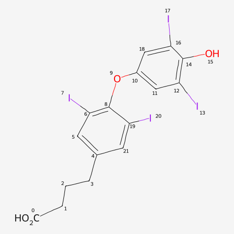 O=C(O)CCCc1cc(I)c(Oc2cc(I)c(O)c(I)c2)c(I)c1